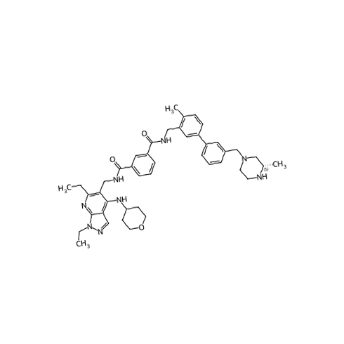 CCc1nc2c(cnn2CC)c(NC2CCOCC2)c1CNC(=O)c1cccc(C(=O)NCc2cc(-c3cccc(CN4CCN[C@@H](C)C4)c3)ccc2C)c1